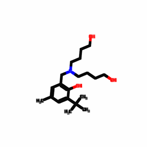 Cc1cc(CN(CCCCO)CCCCO)c(O)c(C(C)(C)C)c1